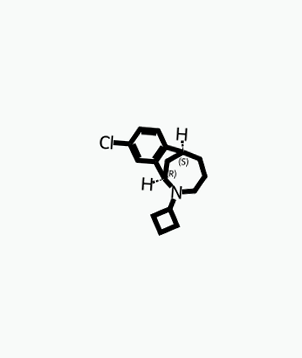 Clc1ccc2c(c1)[C@H]1C[C@@H]2CCCN1C1CCC1